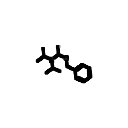 [CH2]C(OCc1ccccc1)N(C(C)C)C(C)C